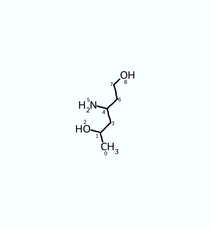 CC(O)CC(N)CCO